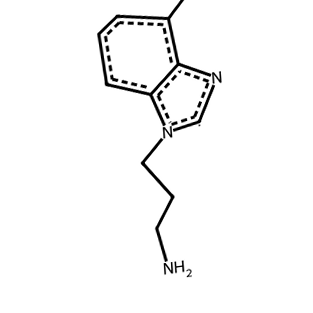 NCCCn1[c]nc2c(Cl)cccc21